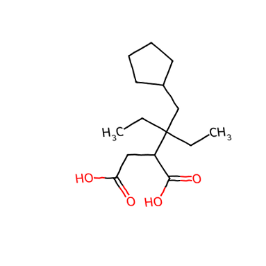 CCC(CC)(CC1CCCC1)C(CC(=O)O)C(=O)O